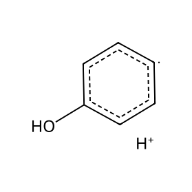 Oc1cc[c]cc1.[H+]